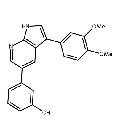 COc1ccc(-c2c[nH]c3ncc(-c4cccc(O)c4)cc23)cc1OC